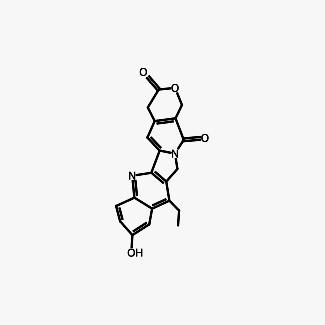 CCc1c2c(nc3ccc(O)cc13)-c1cc3c(c(=O)n1C2)COC(=O)C3